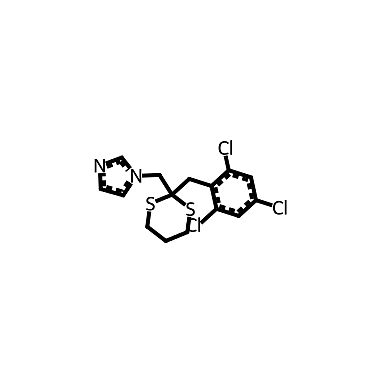 Clc1cc(Cl)c(CC2(Cn3ccnc3)SCCCS2)c(Cl)c1